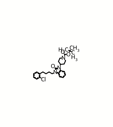 CC(C)(C)OC(=O)N1CCC(n2c(=O)n(CCCCc3ccccc3Cl)c3ccccc32)CC1